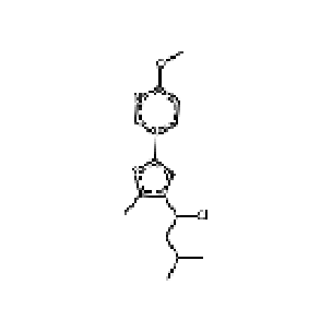 COc1ccc(-c2cc(C(Cl)CC(C)C)c(C)s2)cn1